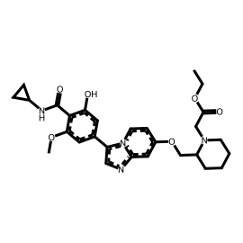 CCOC(=O)CN1CCCCC1COc1ccn2c(-c3cc(O)c(C(=O)NC4CC4)c(OC)c3)cnc2c1